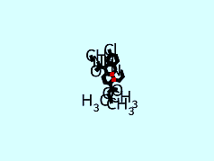 CCNC(=O)C(c1ccc(C(=O)OC(C)(C)C)cc1)c1cc(Cl)ccc1N1CCCCC1